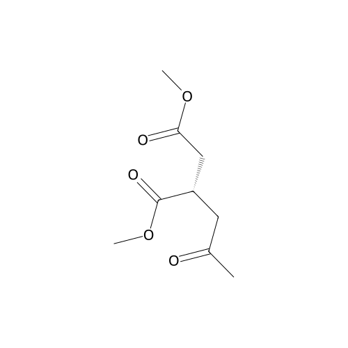 COC(=O)C[C@H](CC(C)=O)C(=O)OC